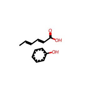 C/C=C/C=C/C(=O)O.Oc1ccccc1